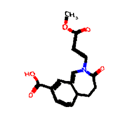 COC(=O)CCN1C=C2C=C(C(=O)O)C=CC2CCC1=O